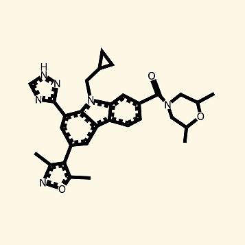 Cc1noc(C)c1-c1cc(-c2nc[nH]n2)c2c(c1)c1ccc(C(=O)N3CC(C)OC(C)C3)cc1n2CC1CC1